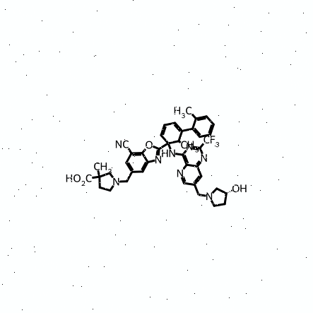 Cc1ccccc1C1=CC=CC(Nc2nc(C(F)(F)F)nc3cc(CN4CC[C@@H](O)C4)cnc23)(c2nc3cc(CN4CCC(C)(C(=O)O)C4)cc(C#N)c3o2)C1C